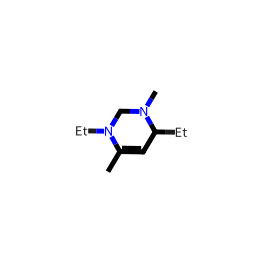 CCC1C=C(C)N(CC)CN1C